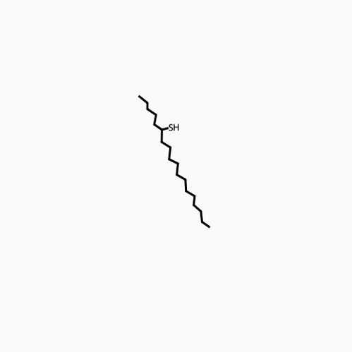 CCCCCCCCCCCCC(S)CCCCC